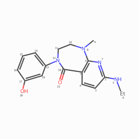 CCNc1ccc2c(n1)N(C)CCN(c1cccc(O)c1)C2=O